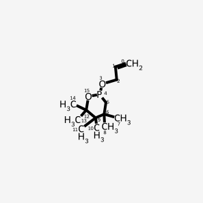 C=CCOP1CC(C)(C)C(C)(C)C(C)(C)O1